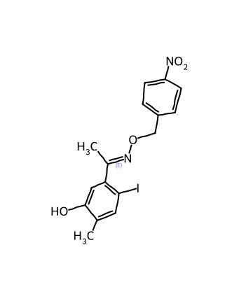 C/C(=N\OCc1ccc([N+](=O)[O-])cc1)c1cc(O)c(C)cc1I